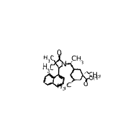 CC[C@]1(C(=O)O)CC(C)CC([C@@H](C)N2C(=O)C(C)(C)C2c2cccc3ccccc23)C1